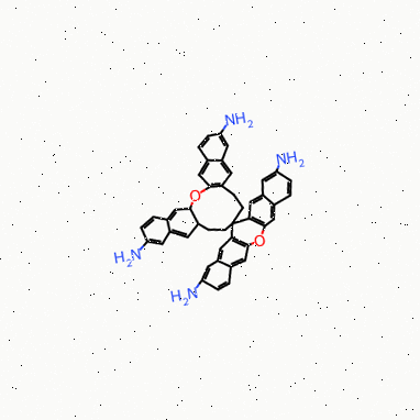 Nc1ccc2c(c1)=CC1CCC3(CCc4cc5cc(N)ccc5cc4OC1C=2)c1cc2cc(N)ccc2cc1Oc1cc2ccc(N)cc2cc13